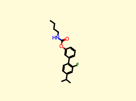 CCCCNC(=O)Oc1cccc(-c2ccc(C(C)C)cc2F)c1